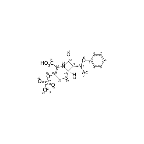 CC(=O)N(Oc1ccccc1)[C@@H]1C(=O)N2C(C(=O)O)=C(OS(=O)(=O)C(F)(F)F)CS[C@H]12